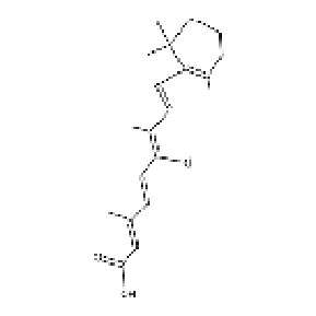 CC1=C(/C=C/C(C)=C(Cl)/C=C/C(C)=C/C(=O)O)C(C)(C)CCC1